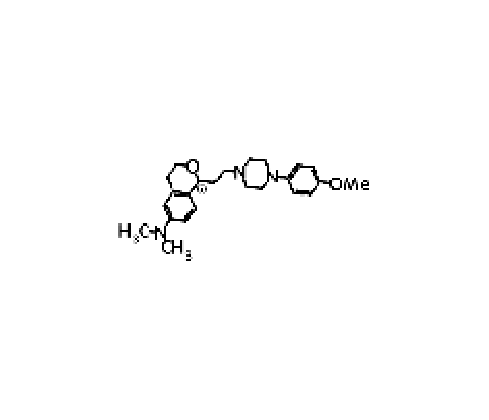 COc1ccc(N2CCN(CC[C@@H]3OCCc4cc(N(C)C)ccc43)CC2)cc1